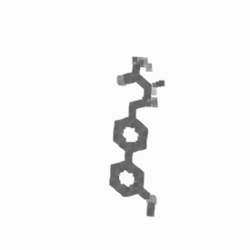 COc1cccc(-c2ccc(CN[C@@H](C)C(N)=O)cc2)c1